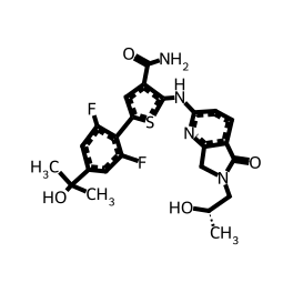 C[C@H](O)CN1Cc2nc(Nc3sc(-c4c(F)cc(C(C)(C)O)cc4F)cc3C(N)=O)ccc2C1=O